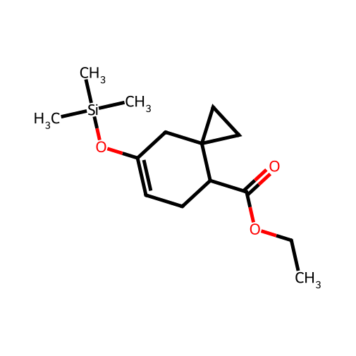 CCOC(=O)C1CC=C(O[Si](C)(C)C)CC12CC2